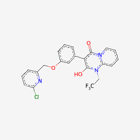 O=c1c(-c2cccc(OCc3cccc(Cl)n3)c2)c(O)n(CC(F)(F)F)c2cccc[n+]12